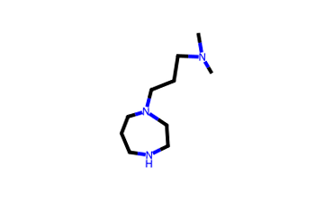 CN(C)CCCN1CCCNCC1